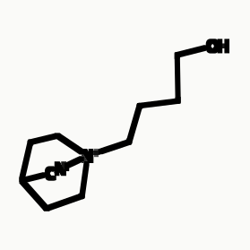 OCCCC[N+]12CCC(CC1)C[N]2